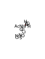 CC(=O)N[C@H]1C[C@H]2CC[C@@H](C1)N2CCc1coc2cc(Oc3nc4ncccc4s3)ccc12